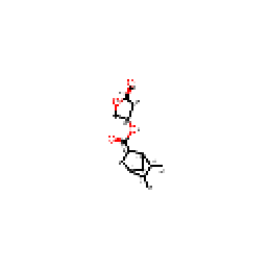 CC1C2CC(C(=O)OC3COC(=O)C3)C(C2)C1C